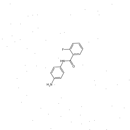 Nc1ccc(NC(=O)c2ccccc2F)cc1